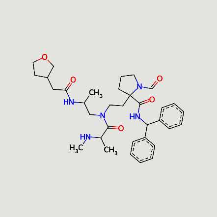 CNC(C)C(=O)N(CCC1(C(=O)NC(c2ccccc2)c2ccccc2)CCCN1C=O)CC(C)NC(=O)CC1CCOC1